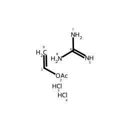 C=COC(C)=O.Cl.Cl.N=C(N)N